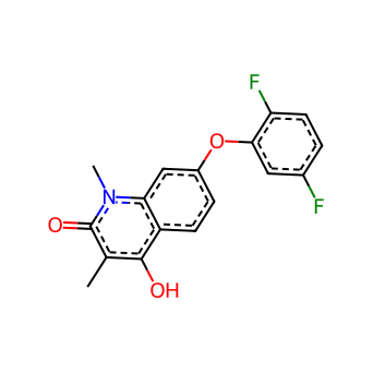 Cc1c(O)c2ccc(Oc3cc(F)ccc3F)cc2n(C)c1=O